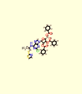 C[C@H](CSc1nccs1)Nc1nc(Cl)nc2c1ncn2[C@@H]1O[C@H](COC(=O)c2ccccc2)[C@@H](OC(=O)c2ccccc2)[C@H]1OC(=O)c1ccccc1